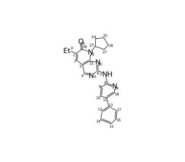 CCc1cc2cnc(Nc3ccc(-c4ccccc4)cn3)nc2n(C2CCCC2)c1=O